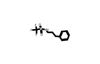 O=S(=O)(NCCCc1ccccc1)C(F)(F)F